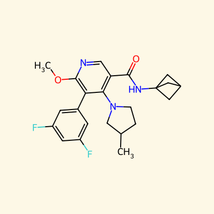 COc1ncc(C(=O)NC23CC(C2)C3)c(N2CCC(C)C2)c1-c1cc(F)cc(F)c1